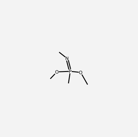 CN=P(C)(OC)OC